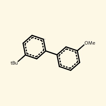 COc1cccc(-c2[c]ccc(C(C)(C)C)c2)c1